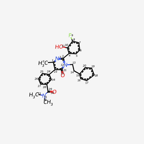 Cc1nc(-c2cccc(F)c2O)n(CCc2ccccc2)c(=O)c1-c1cccc(C(=O)N(C)C)c1